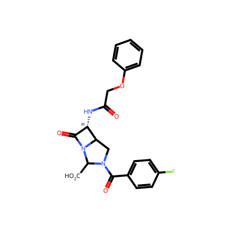 O=C(COc1ccccc1)N[C@H]1C(=O)N2C1CN(C(=O)c1ccc(F)cc1)C2C(=O)O